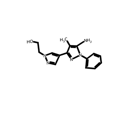 Cc1c(-c2cnn(CCO)c2)nn(-c2ccccc2)c1N